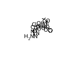 CC(C)OC(=O)[C@H](C)NP(=O)(OC[C@H]1O[C@@H](n2cnc3c(N)ncnc32)C(Cl)(Cl)[C@@H]1O)Oc1ccccc1